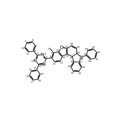 Cc1c(-c2nc(-c3ccccc3)nc(-c3ccccc3)n2)ccc2c3c(oc12)C=CC1C3c2ccccc2N1c1ccccc1